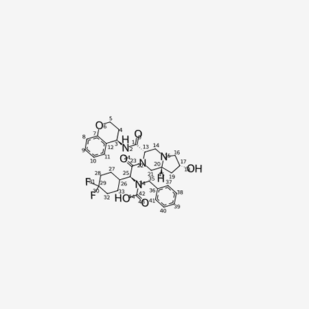 O=C(N[C@@H]1CCOc2ccccc21)[C@@H]1CN2C[C@H](O)C[C@@H]2CN1C(=O)[C@H](C1CCC(F)(F)CC1)N(Cc1ccccc1)C(=O)O